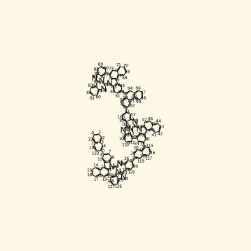 c1ccc2cc(-c3ccc4c(c3)c3c5ccccc5ccc3n4-c3nc4cc(-c5ccc6c(-c7ccc8c(c7)c7c9ccccc9ccc7n8-c7nc8cc(-c9ccc%10c(-c%11ccc%12c(c%11)c%11c%13ccccc%13ccc%11n%12-c%11nc%12ccccc%12c%12nc%13ccccc%13n%11%12)cc%11ccccc%11c%10c9)ccc8c8nc9ccccc9n78)cccc6c5)ccc4c4nc5ccccc5n34)ccc2c1